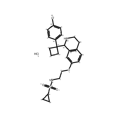 Cl.O=S(=O)(NCCOc1ccc2c(c1)C(C1(c3ccc(Cl)cc3)CCC1)NCC2)C1CC1